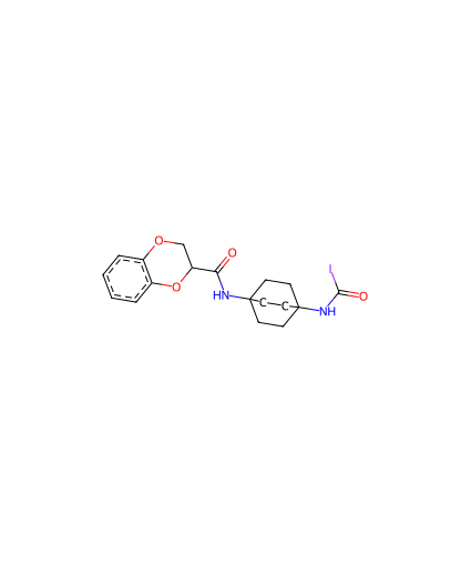 O=C(I)NC12CCC(NC(=O)C3COc4ccccc4O3)(CC1)CC2